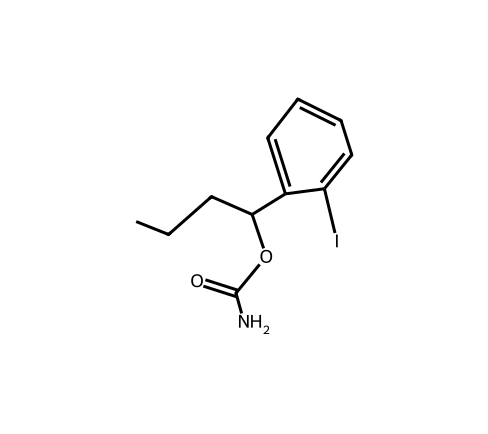 CCCC(OC(N)=O)c1ccccc1I